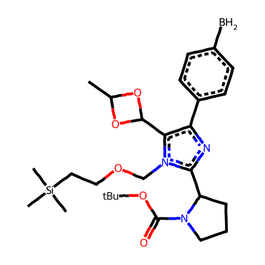 Bc1ccc(-c2nc(C3CCCN3C(=O)OC(C)(C)C)n(COCC[Si](C)(C)C)c2C2OC(C)O2)cc1